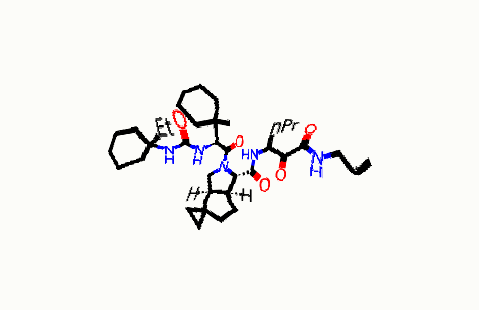 C=CCNC(=O)C(=O)C(CCC)NC(=O)[C@@H]1[C@H]2CCC3(CC3)[C@H]2CN1C(=O)[C@@H](NC(=O)NC1(CC)CCCCC1)C1(C)CCCCC1